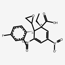 CC[C@@]1(C(=O)O)C=C([N+](=O)[O-])C=C([N+](=O)[O-])[C@@]1(c1ccc(F)cc1F)C1CO1